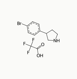 Brc1ccc(C2CCNC2)cc1.O=C(O)C(F)(F)F